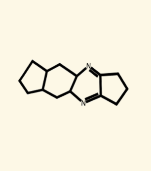 C1CC2=NC3CC4CCCC4CC3N=C2C1